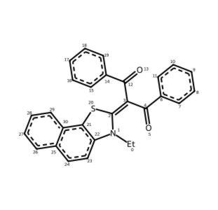 CCN1C(=C(C(=O)c2ccccc2)C(=O)c2ccccc2)Sc2c1ccc1ccccc21